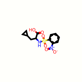 O=C(O)C(CC1CC1)NS(=O)(=O)c1ccccc1[N+](=O)[O-]